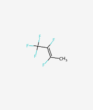 CC(F)=C(F)C(F)(F)F